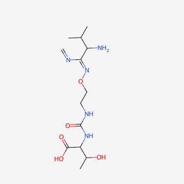 C=N/C(=N\OCCNC(=O)NC(C(=O)O)C(C)O)C(N)C(C)C